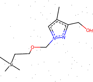 Cc1cn(COCC[Si](C)(C)C)nc1CO